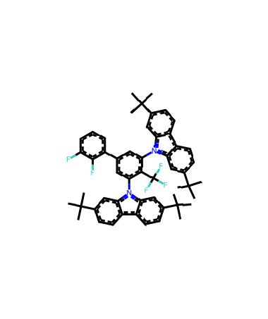 CC(C)(C)c1ccc2c3ccc(C(C)(C)C)cc3n(-c3cc(-c4cccc(F)c4F)cc(-n4c5cc(C(C)(C)C)ccc5c5ccc(C(C)(C)C)cc54)c3C(F)(F)F)c2c1